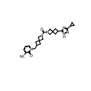 N#Cc1cccn(CC2CC3(C2)CN(C(=O)N2CC4(CC(c5nc(C6CC6)n[nH]5)C4)C2)C3)c1=O